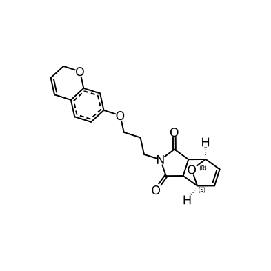 O=C1C2C(C(=O)N1CCCOc1ccc3c(c1)OCC=C3)[C@H]1C=C[C@@H]2O1